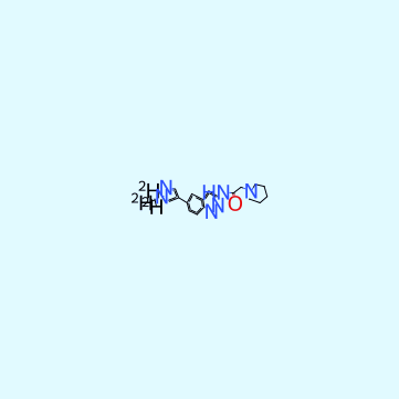 [2H]C([2H])([2H])n1cc(-c2ccc3nnc(NC(=O)CN4CCCCC4)cc3c2)cn1